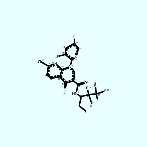 CCC(NC(=O)c1cn(-c2ncc(F)cc2F)c2nc(Cl)ccc2c1=O)C(F)(F)C(F)(F)F